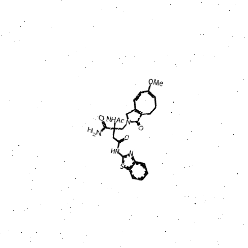 COC1=CCCC2=C(/C=C\1)CN(CC(CC(=O)Nc1nc3ccccc3s1)(NC(C)=O)C(N)=O)C2=O